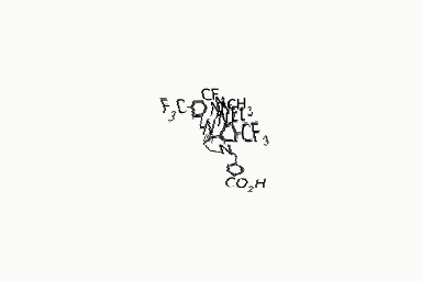 CCc1cc2c(cc1C(F)(F)F)N(Cc1ccc(C(=O)O)cc1)CCC[C@@H]2N(Cc1cc(C(F)(F)F)cc(C(F)(F)F)c1)c1nnn(C)n1